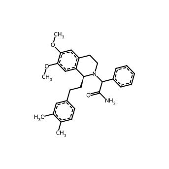 COc1cc2c(cc1OC)[C@H](CCc1ccc(C)c(C)c1)N(C(C(N)=O)c1ccccc1)CC2